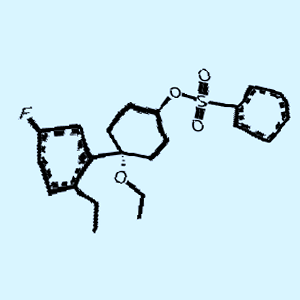 CCO[C@]1(c2cc(F)ccc2CC)CC[C@@H](OS(=O)(=O)c2ccccc2)CC1